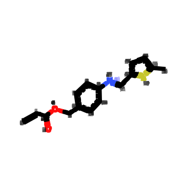 C=CC(=O)OCc1ccc(/N=C/c2ccc(C)s2)cc1